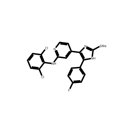 CSc1nc(-c2ccnc(Nc3c(Cl)cccc3Cl)c2)c(-c2ccc(F)cc2)[nH]1